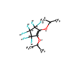 FC(F)(F)C(OC1=C(OC(C(F)(F)F)C(F)(F)F)C(F)(F)C(F)(F)C1(F)F)C(F)(F)F